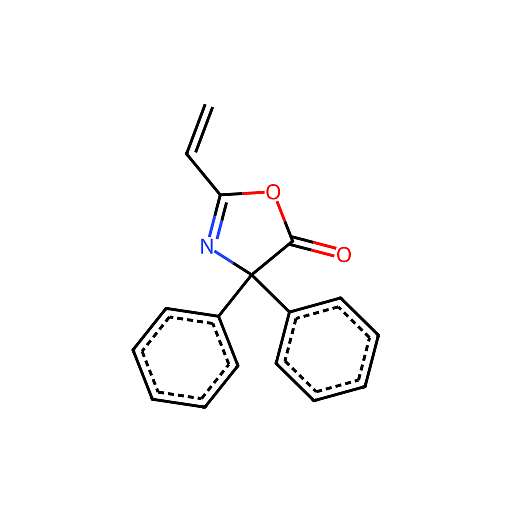 C=CC1=NC(c2ccccc2)(c2ccccc2)C(=O)O1